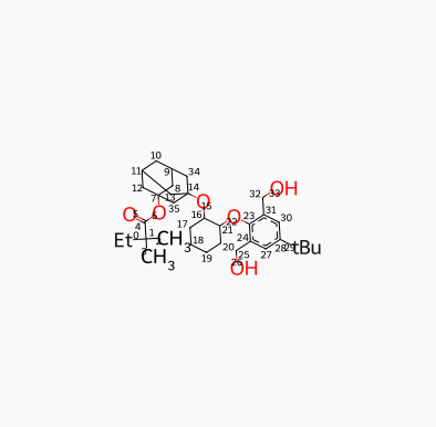 CCC(C)(C)C(=O)OC12CC3CC(C1)CC(OC1CCCCC1Oc1c(CO)cc(C(C)(C)C)cc1CO)(C3)C2